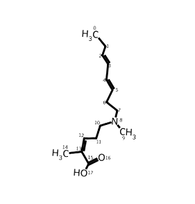 CCC=CC=CCCN(C)CCC=C(C)C(=O)O